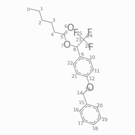 CCCCCC(=O)OC(c1ccc(OCc2ccccc2)cc1)C(F)(F)F